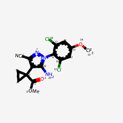 COC(=O)C1(c2c(C#N)nn(-c3c(Cl)cc(OC(F)(F)F)cc3Cl)c2N)CC1